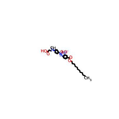 CCCCCCCCCCCCOC(=O)c1ccc(/N=N/c2ccc(N(C)CCC(=O)O)cc2)c([N+](=O)[O-])c1